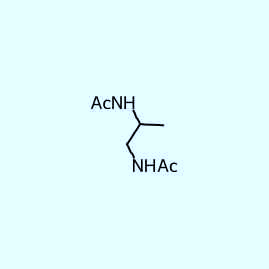 CC(=O)NCC(C)NC(C)=O